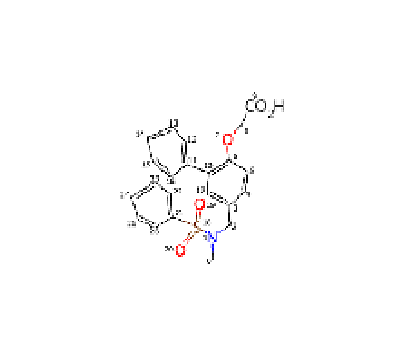 CN(Cc1ccc(OCC(=O)O)c(-c2ccccc2)c1)S(=O)(=O)c1ccccc1